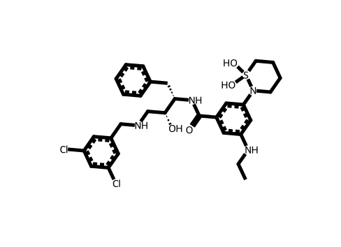 CCNc1cc(C(=O)N[C@@H](Cc2ccccc2)[C@H](O)CNCc2cc(Cl)cc(Cl)c2)cc(N2CCCCS2(O)O)c1